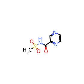 CS(=O)(=O)NC(=O)c1cnccn1